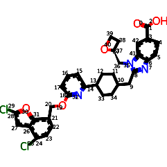 O=C(O)c1ccc2nc(CC3CCC(c4cccc(OCc5ccc(Cl)c6cc(Cl)oc56)n4)CC3)n(C[C@@H]3CCO3)c2c1